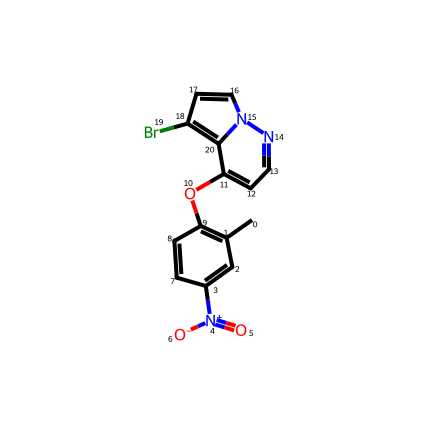 Cc1cc([N+](=O)[O-])ccc1Oc1ccnn2ccc(Br)c12